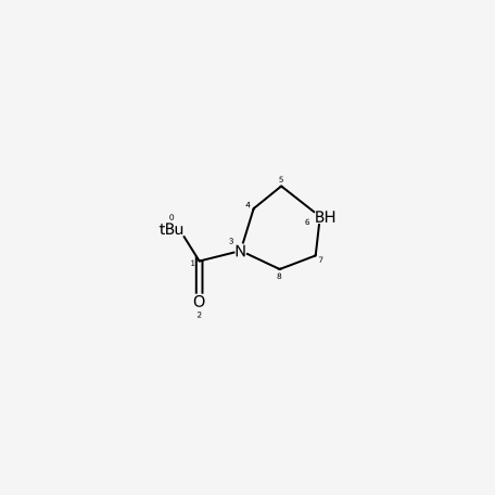 CC(C)(C)C(=O)N1CCBCC1